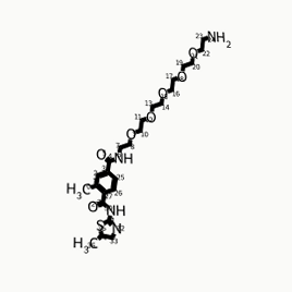 Cc1cc(C(=O)NCCOCCOCCOCCOCCOCCN)ccc1C(=O)NC1=NCC(C)S1